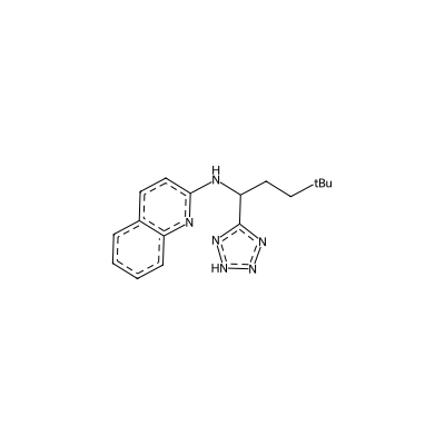 CC(C)(C)CCC(Nc1ccc2ccccc2n1)c1nn[nH]n1